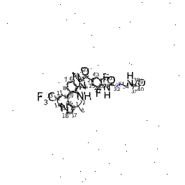 CC1CNc2c3c(ccc2=C2C=C(C(F)(F)F)Cn4ccc1c42)=NC(C(=O)c1cc(F)c(NC(=O)/C=C/CNC2(C)COC2)c(F)c1)=N3